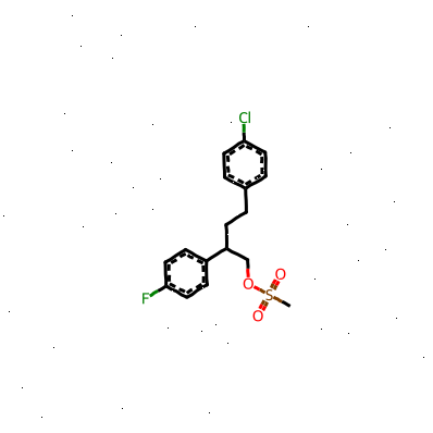 CS(=O)(=O)OCC(CCc1ccc(Cl)cc1)c1ccc(F)cc1